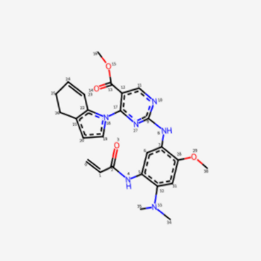 C=CC(=O)Nc1cc(Nc2ncc(C(=O)OC)c(-n3ccc4c3C=CCC4)n2)c(OC)cc1N(C)C